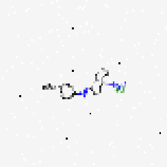 CCCCc1ccc(/N=N/c2ccc(NCl)c3ccccc23)cc1